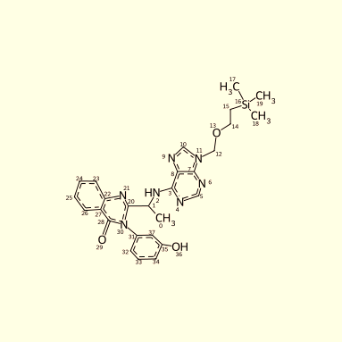 CC(Nc1ncnc2c1ncn2COCC[Si](C)(C)C)c1nc2ccccc2c(=O)n1-c1cccc(O)c1